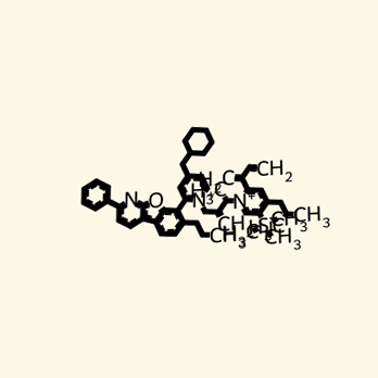 C=CC(=C)c1cc(CC(C)C)c([Si](C)(C)C)c[n+]1C(C)C(=C)C[n+]1ccc(CC2CCCCC2)cc1-c1c(CCC)ccc2c1oc1nc(-c3ccccc3)ccc12